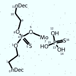 CCCCCCCCCCCCOP(=S)([O][Mo])OCCCCCCCCCCCC.OP(O)(O)=S